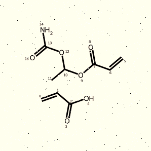 C=CC(=O)O.C=CC(=O)OC(C)OC(N)=O